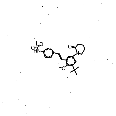 COc1c(C=Cc2ccc(NS(C)(=O)=O)cc2)cc(N2CCCCC2=O)cc1C(C)(C)C